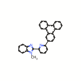 Cn1c(-c2cccc(-c3ccc4c5ccccc5c5ccccc5c4c3)n2)nc2ccccc21